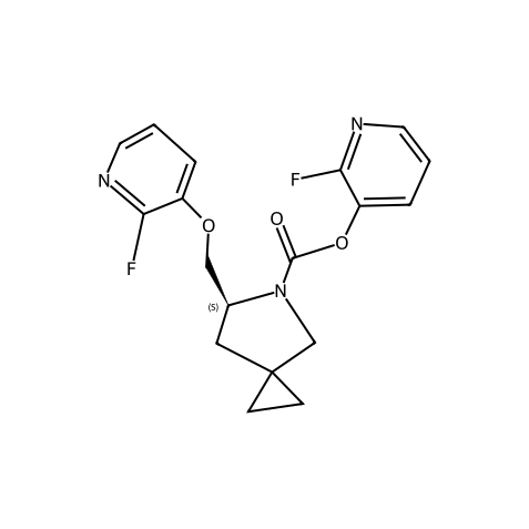 O=C(Oc1cccnc1F)N1CC2(CC2)C[C@H]1COc1cccnc1F